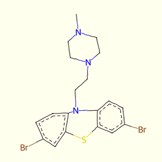 CN1CCN(CCN2c3ccc(Br)cc3Sc3cc(Br)ccc32)CC1